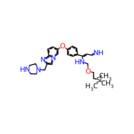 C[Si](C)(C)CCOCN/C(=C\C=N)c1ccc(Oc2ccc3nc(CN4CCNCC4)cn3c2)cc1